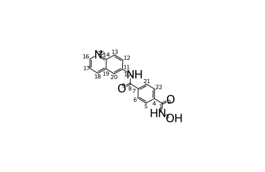 O=C(NO)c1ccc(C(=O)Nc2ccc3ncccc3c2)cc1